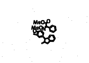 CC1Cc2ccccc2C1c1ccc2c(c1)CO2.CON=C(C(=O)OC)c1ccccc1